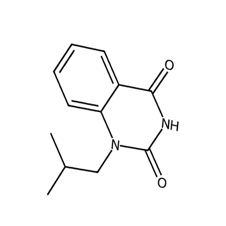 CC(C)Cn1c(=O)[nH]c(=O)c2ccccc21